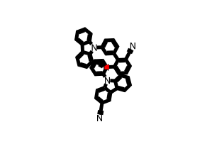 N#Cc1ccc2c(c1)c1ccccc1n2-c1ccccc1-c1cccc(C#N)c1-c1cccc(-n2c3ccccc3c3cccc(C#N)c32)c1